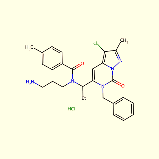 CCC(c1cc2c(Cl)c(C)nn2c(=O)n1Cc1ccccc1)N(CCCN)C(=O)c1ccc(C)cc1.Cl